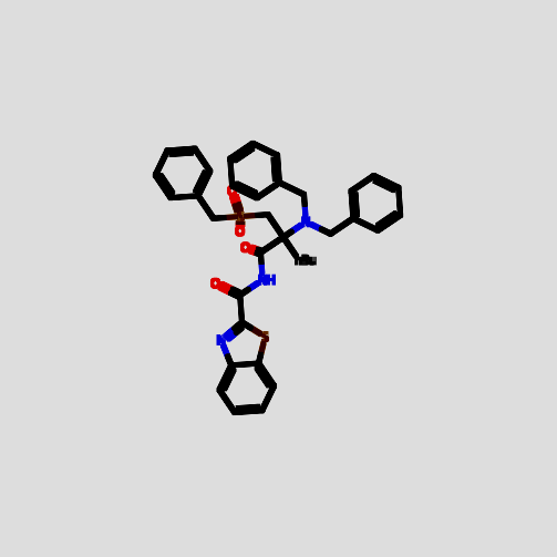 CCCCC(CS(=O)(=O)Cc1ccccc1)(C(=O)NC(=O)c1nc2ccccc2s1)N(Cc1ccccc1)Cc1ccccc1